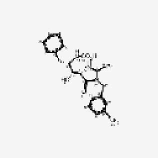 CC(C)C1N[C@@H]([C@H](O)[C@H](Cc2ccccc2)NC(=O)O)C(=O)N1Cc1cccc(C(F)(F)F)c1